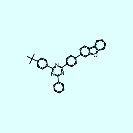 CC(C)(C)c1ccc(-c2nc(-c3ccccc3)nc(-c3ccc(-c4ccc5c(c4)oc4ccccc45)cc3)n2)cc1